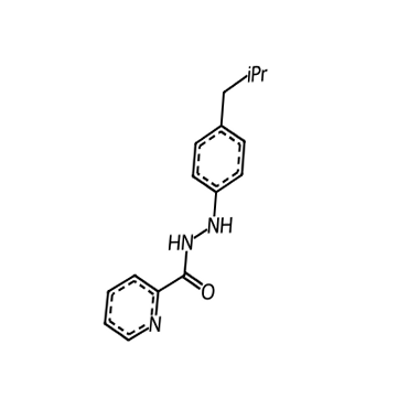 CC(C)Cc1ccc(NNC(=O)c2ccccn2)cc1